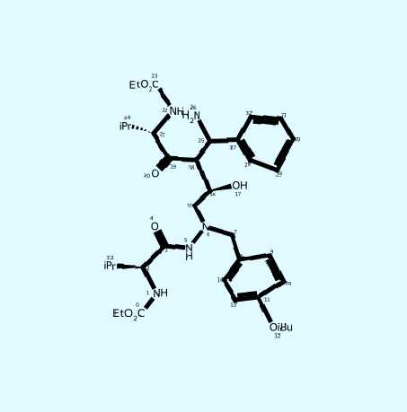 CCOC(=O)N[C@H](C(=O)NN(Cc1ccc(OCC(C)C)cc1)C[C@H](O)C(C(=O)[C@@H](NC(=O)OCC)C(C)C)C(N)c1ccccc1)C(C)C